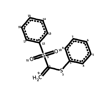 C=C(Sc1ccccc1)S(=O)(=O)c1ccccc1